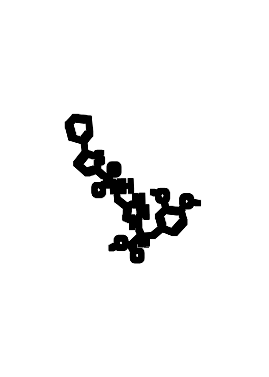 COC(=O)[C@H](Cc1ccc(OC)c(OC)c1)n1cc(CNS(=O)(=O)c2ccc(-c3ccccc3)s2)nn1